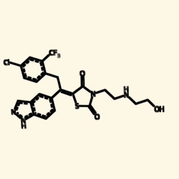 O=C1S/C(=C(/Cc2ccc(Cl)cc2C(F)(F)F)c2ccc3[nH]ncc3c2)C(=O)N1CCNCCO